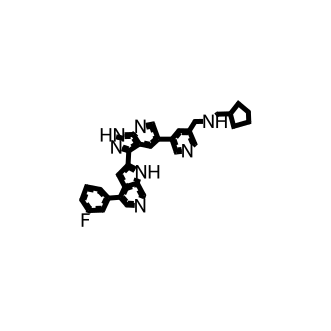 Fc1cccc(-c2cncc3[nH]c(-c4n[nH]c5ncc(-c6cncc(CNCC7CCCC7)c6)cc45)cc23)c1